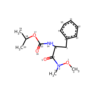 CON(C)C(=O)C(Cc1ccccc1)NC(=O)OC(C)C